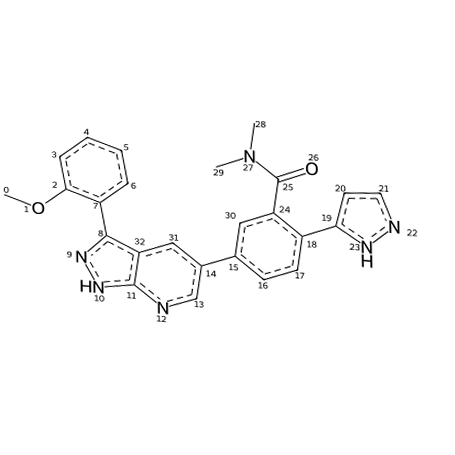 COc1ccccc1-c1n[nH]c2ncc(-c3ccc(-c4ccn[nH]4)c(C(=O)N(C)C)c3)cc12